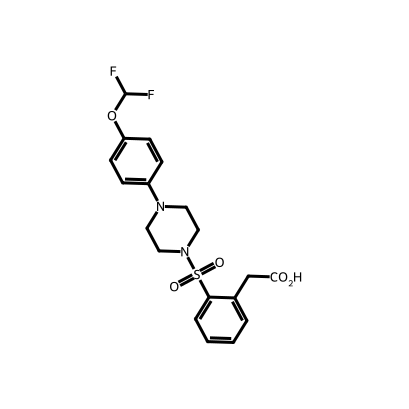 O=C(O)Cc1ccccc1S(=O)(=O)N1CCN(c2ccc(OC(F)F)cc2)CC1